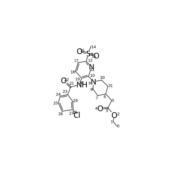 CCOC(=O)CC1CCN(c2nc(S(C)(=O)=O)ccc2NC(=O)c2cccc(Cl)c2)CC1